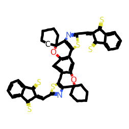 S=C1C(=Cc2nc3c(s2)-c2cc4c(cc2OC32CCCCC2)-c2sc(C=C3C(=S)c5ccccc5C3=S)nc2C2(CCCCC2)O4)C(=S)c2ccccc21